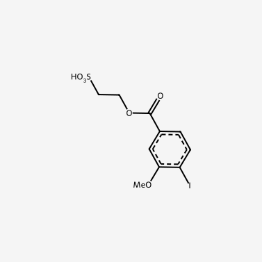 COc1cc(C(=O)OCCS(=O)(=O)O)ccc1I